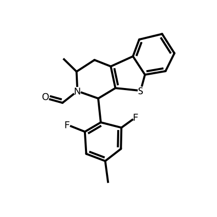 Cc1cc(F)c(C2c3sc4ccccc4c3CC(C)N2C=O)c(F)c1